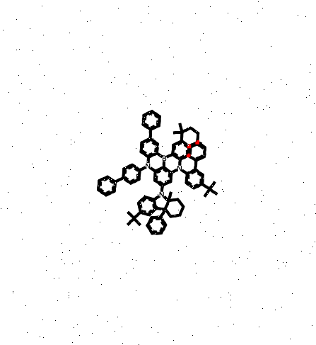 CC1CCC(C)(C)c2cc3c(cc21)N(c1ccc(C(C)(C)C)cc1C1=CC=C=C=C1)c1cc(N2c4ccc(C(C)(C)C)cc4C4(c5ccccc5)CCCCC24C)cc2c1B3c1cc(-c3ccccc3)ccc1N2c1ccc(-c2ccccc2)cc1